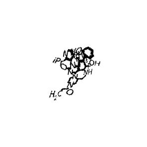 C=CC(=O)N1CCN2c3nc(=O)n(-c4c(C)ccnc4C(C)C)c4c(F)c(-c5c(O)cccc5O)c(F)c(c34)NCCC2C1